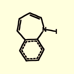 IN1C=CC=Cc2ccccc21